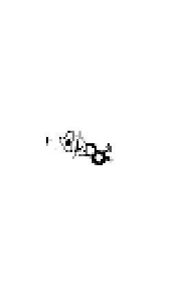 CC(C)(C)OC(=O)N1CCc2c(ccc(F)c2Br)C1